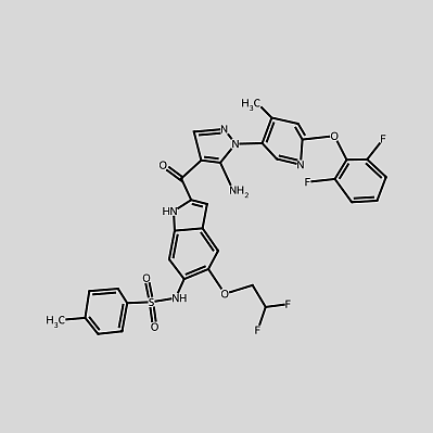 Cc1ccc(S(=O)(=O)Nc2cc3[nH]c(C(=O)c4cnn(-c5cnc(Oc6c(F)cccc6F)cc5C)c4N)cc3cc2OCC(F)F)cc1